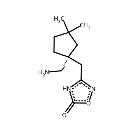 CC1(C)CC[C@](CN)(Cc2noc(=O)[nH]2)C1